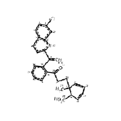 C=C(c1ccc2ccc(Cl)cc2n1)c1ccccc1C(=O)CCC1(C)C=CC=CC1C(=O)O